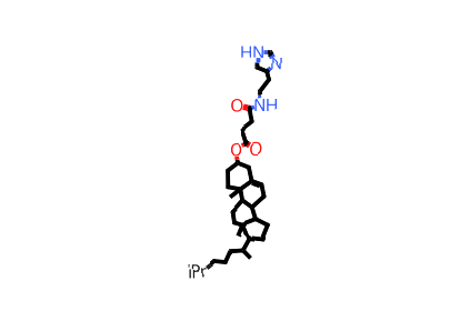 CC(C)CCCC(C)C1CCC2C3CC=C4CC(OC(=O)CCC(=O)NCCC5CNC=N5)CCC4(C)C3CCC12C